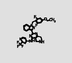 CCOc1cc(F)c(Cn2nc(-c3nc4c(c(Nc5ccnc(C(F)(F)F)c5)n3)CNCC4)c3ccccc32)c(F)c1